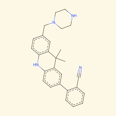 CC1(C)c2cc(CN3CCNCC3)ccc2Nc2ccc(-c3ccccc3C#N)cc21